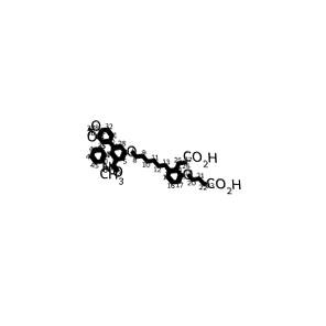 CN(C(=O)c1cc(OCCCCCCc2cccc(OCCCC(=O)O)c2CCC(=O)O)cc(-c2ccc3c(c2)OCO3)c1)c1ccccc1